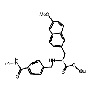 COc1ccc2cc(CN(NCc3ccc(C(=O)NC(C)C)cc3)C(=O)OC(C)(C)C)ccc2c1